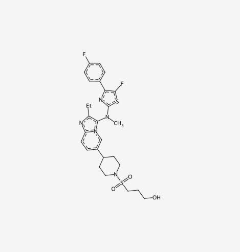 CCc1nc2ccc(C3CCN(S(=O)(=O)CCCO)CC3)cn2c1N(C)c1nc(-c2ccc(F)cc2)c(F)s1